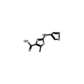 Cc1sc(Nc2cnsc2)nc1C(=O)O